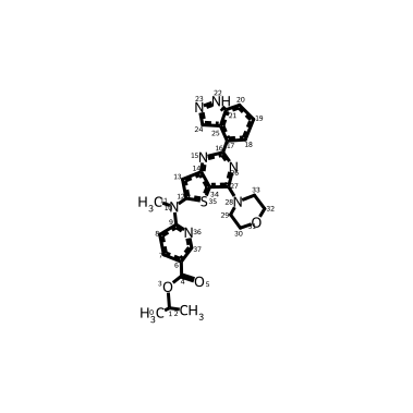 CC(C)OC(=O)c1ccc(N(C)c2cc3nc(-c4cccc5[nH]ncc45)nc(N4CCOCC4)c3s2)nc1